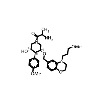 COCCCN1CCOc2ccc(CO[C@H]3CN(C(=O)C(C)N)C[C@@H](O)[C@@H]3c3ccc(OC)cc3)cc21